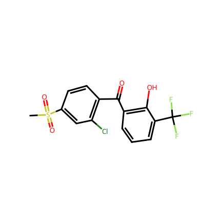 CS(=O)(=O)c1ccc(C(=O)c2cccc(C(F)(F)F)c2O)c(Cl)c1